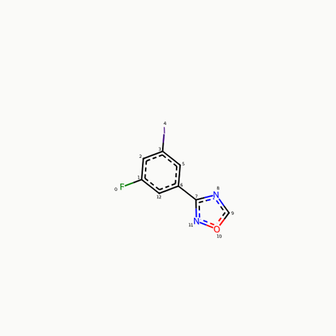 Fc1cc(I)cc(-c2ncon2)c1